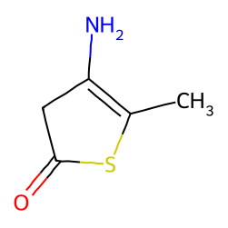 CC1=C(N)CC(=O)S1